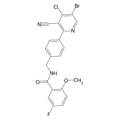 COc1ccc(F)cc1C(=O)NCc1ccc(-c2ncc(Br)c(Cl)c2C#N)cc1